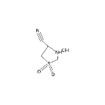 Cl.N#CC1CS(=O)(=O)CN1